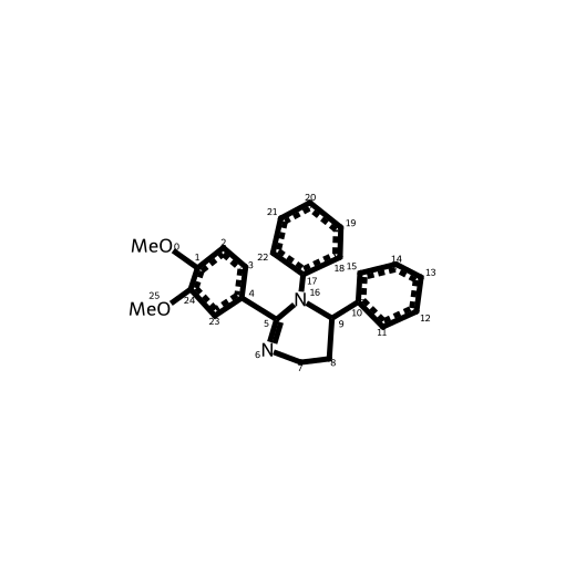 COc1ccc(C2=NCCC(c3ccccc3)N2c2ccccc2)cc1OC